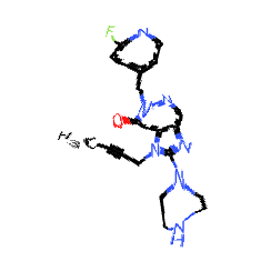 CC#CCn1c(N2CCNCC2)nc2cnn(Cc3ccnc(F)c3)c(=O)c21